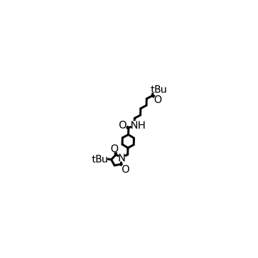 CC(C)(C)C(=O)CCCCCNC(=O)C1CCC(CN2C(=O)CC(C(C)(C)C)C2=O)CC1